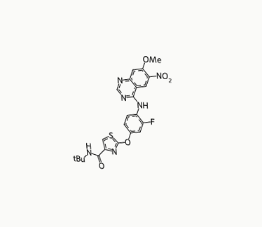 COc1cc2ncnc(Nc3ccc(Oc4nc(C(=O)NC(C)(C)C)cs4)cc3F)c2cc1[N+](=O)[O-]